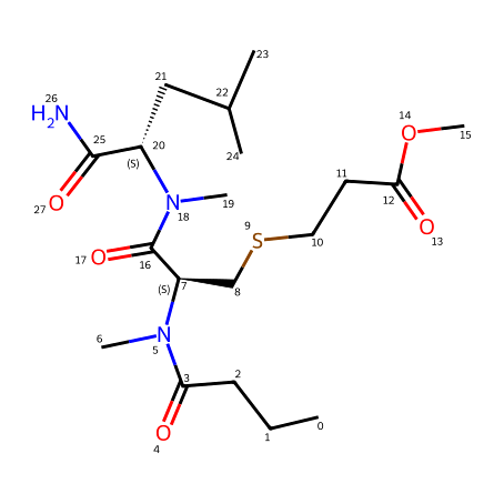 CCCC(=O)N(C)[C@H](CSCCC(=O)OC)C(=O)N(C)[C@@H](CC(C)C)C(N)=O